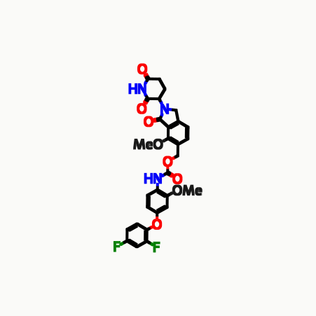 COc1cc(Oc2ccc(F)cc2F)ccc1NC(=O)OCc1ccc2c(c1OC)C(=O)N(C1CCC(=O)NC1=O)C2